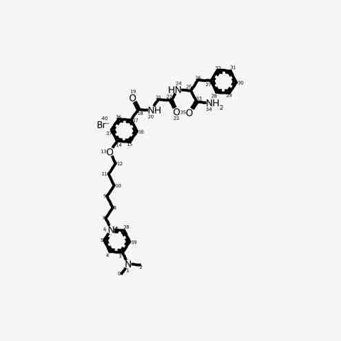 CN(C)c1cc[n+](CCCCCCOc2ccc(C(=O)NCC(=O)NC(Cc3ccccc3)C(N)=O)cc2)cc1.[Br-]